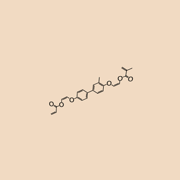 C=CC(=O)O/C=C\Oc1ccc(-c2ccc(O/C=C\OC(=O)C(=C)C)c(C)c2)cc1